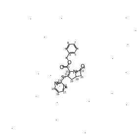 O=C(OCc1ccccc1)C1=C(Sc2ncccn2)CC2CC(=O)N12